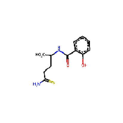 NC(=S)CCC(NC(=O)c1ccccc1O)C(=O)O